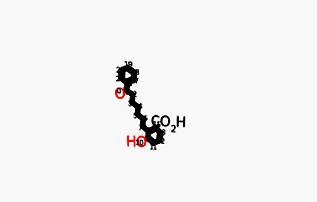 O=C(CCCCCCc1c(O)cccc1C(=O)O)c1ccccc1